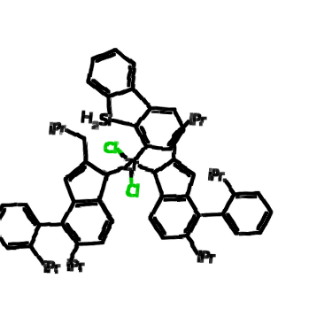 CC(C)CC1=Cc2c(ccc(C(C)C)c2-c2ccccc2C(C)C)[CH]1[Zr]([Cl])([Cl])([c]1cccc2c1[SiH2]c1ccccc1-2)[CH]1C(CC(C)C)=Cc2c1ccc(C(C)C)c2-c1ccccc1C(C)C